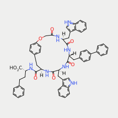 O=C1COc2ccc(cc2)C[C@H](C(=O)N[C@H](CCc2ccccc2)C(=O)O)NC(=O)[C@H](Cc2c[nH]c3ccccc23)NC(=O)[C@@H](Cc2ccc(-c3ccccc3)cc2)NC(=O)[C@H](Cc2c[nH]c3ccccc23)N1